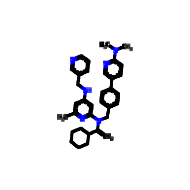 C=C(C1CCCCC1)N(Cc1ccc(-c2ccc(N(C)C)nc2)cc1)c1cc(NCc2cccnc2)cc(C)n1